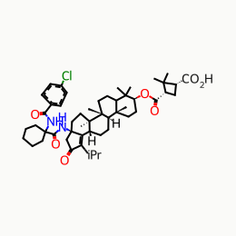 CC(C)C1=C2[C@H]3CC[C@@H]4[C@@]5(C)CC[C@H](OC(=O)[C@H]6C[C@@H](C(=O)O)C6(C)C)C(C)(C)C5CC[C@@]4(C)[C@]3(C)CC[C@@]2(NC(=O)C2(NC(=O)c3ccc(Cl)cc3)CCCCC2)CC1=O